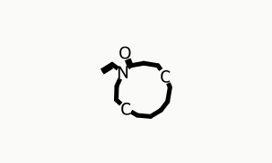 C=CN1CCCCCCCCCCCC1=O